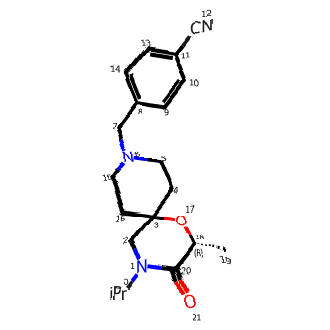 CC(C)N1CC2(CCN(Cc3ccc(C#N)cc3)CC2)O[C@H](C)C1=O